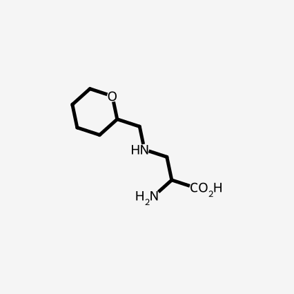 NC(CNCC1CCCCO1)C(=O)O